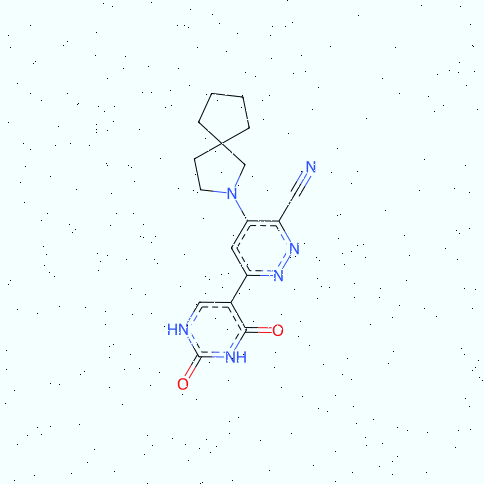 N#Cc1nnc(-c2c[nH]c(=O)[nH]c2=O)cc1N1CCC2(CCCC2)C1